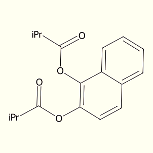 CC(C)C(=O)Oc1ccc2ccccc2c1OC(=O)C(C)C